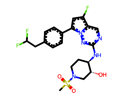 CS(=O)(=O)N1CC[C@@H](Nc2ncc3c(F)cc(-c4ccc(CC(F)F)cc4)n3n2)[C@H](O)C1